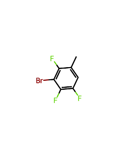 Cc1cc(F)c(F)c(Br)c1F